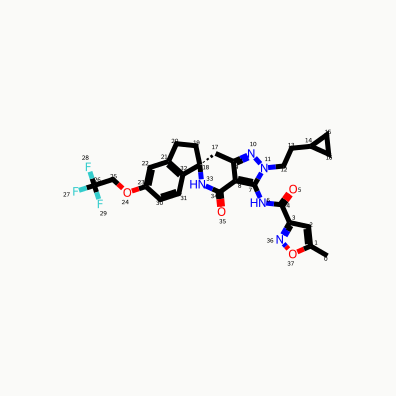 Cc1cc(C(=O)Nc2c3c(nn2CCC2CC2)C[C@]2(CCc4cc(OCC(F)(F)F)ccc42)NC3=O)no1